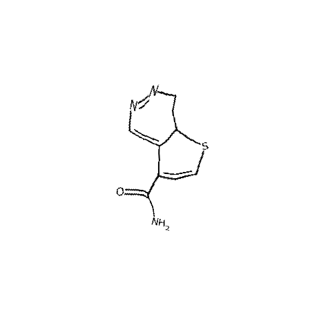 NC(=O)C1=CSC2CN=NC=C12